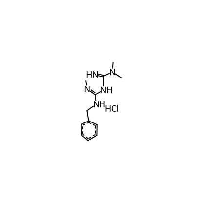 CN=C(NCc1ccccc1)NC(=N)N(C)C.Cl